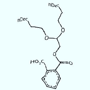 CCCCCCCCCCCCOC(COC(=O)c1ccccc1C(=O)O)OCCCCCCCCCCCC